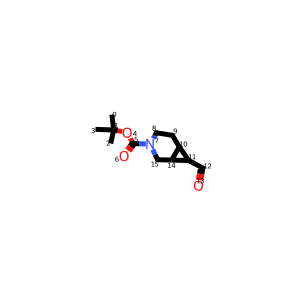 CC(C)(C)OC(=O)N1CCC2C(C=O)C2C1